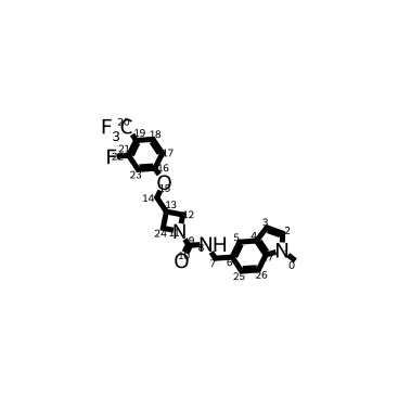 Cn1ccc2cc(CNC(=O)N3CC(COc4ccc(C(F)(F)F)c(F)c4)C3)ccc21